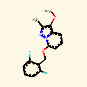 CCOC(=O)Oc1c(C)nn2c(OCc3c(F)cccc3F)cccc12